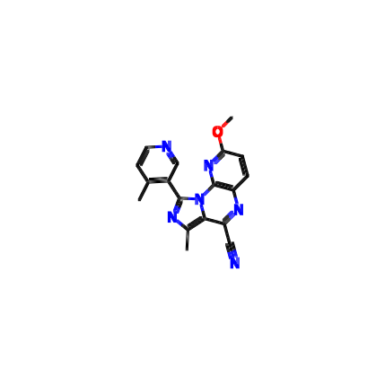 COc1ccc2nc(C#N)c3c(C)nc(-c4cnccc4C)n3c2n1